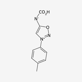 Cc1ccc(-[n+]2cc([N-]C(=O)O)on2)cc1